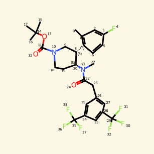 Cc1cc(F)ccc1[C@H]1CN(C(=O)OC(C)(C)C)CC[C@@H]1N(C)C(=O)Cc1cc(C(F)(F)F)cc(C(F)(F)F)c1